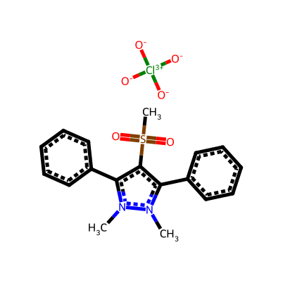 Cn1c(-c2ccccc2)c(S(C)(=O)=O)c(-c2ccccc2)[n+]1C.[O-][Cl+3]([O-])([O-])[O-]